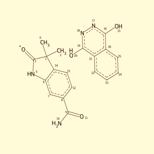 CC1(C)C(=O)Nc2cc(C(N)=O)ccc21.Oc1nnc(O)c2ccccc12